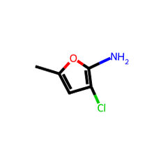 Cc1cc(Cl)c(N)o1